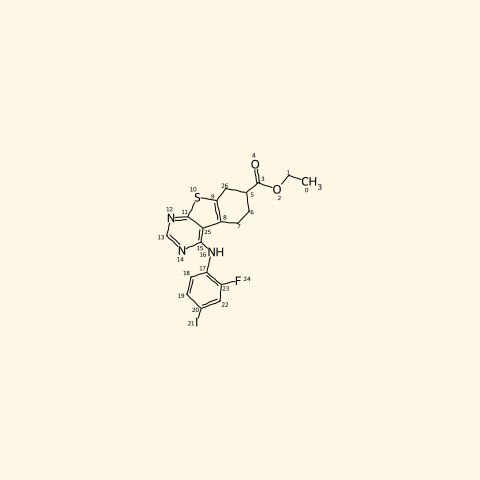 CCOC(=O)C1CCc2c(sc3ncnc(Nc4ccc(I)cc4F)c23)C1